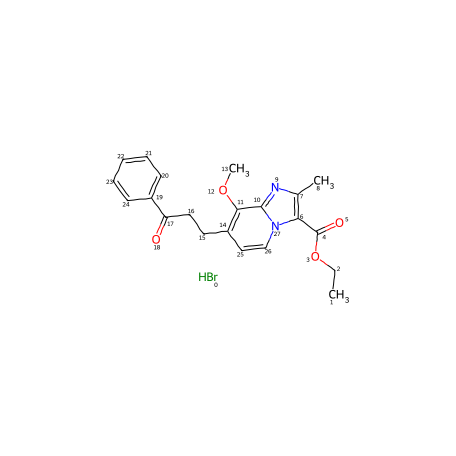 Br.CCOC(=O)c1c(C)nc2c(OC)c(CCC(=O)c3ccccc3)ccn12